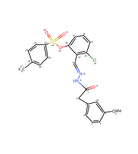 COc1cccc(CC(=O)NN=Cc2c(Cl)cccc2OS(=O)(=O)c2ccc(C(F)(F)F)cc2)c1